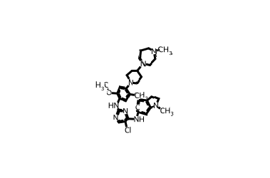 COc1cc(N2CCC(N3CCCN(C)CC3)CC2)c(C)cc1Nc1ncc(Cl)c(Nc2ccc3c(c2)N(C)CC3)n1